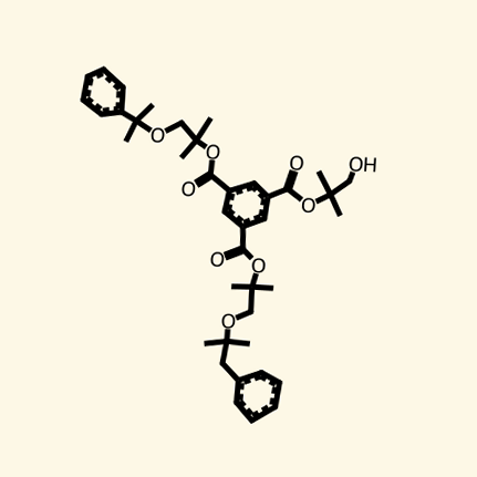 CC(C)(Cc1ccccc1)OCC(C)(C)OC(=O)c1cc(C(=O)OC(C)(C)CO)cc(C(=O)OC(C)(C)COC(C)(C)c2ccccc2)c1